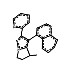 CC1CCn2nc(-c3ccccn3)c(-c3ccnc4ccccc34)c21